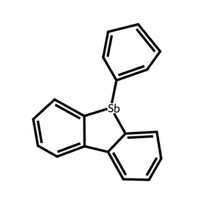 c1cc[c]([Sb]2[c]3ccccc3-c3cccc[c]32)cc1